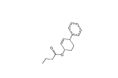 CCCC(=O)OC1C=CC(c2ccccc2)CC1